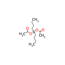 CCCC[Si](CCCC)(OC(C)=O)OC(C)=O